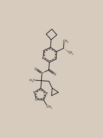 Cc1nc(C(C)(CC2CC2)[N+](=O)C(=O)c2cc([C@H](C)C(F)(F)F)c(C3CCC3)cn2)no1